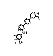 CCC1CN(c2ccc(-c3ccnc(Nc4cc(C)c(OC)c(OC)c4)n3)cn2)CCN1